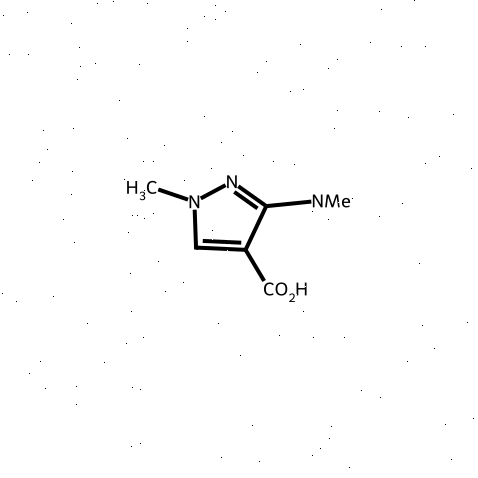 CNc1nn(C)cc1C(=O)O